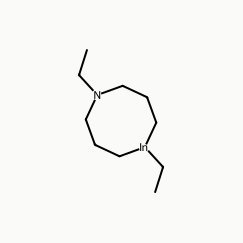 CCN1CC[CH2][In]([CH2]C)[CH2]CC1